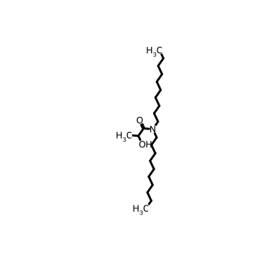 CCCCCCCCCCN(CCCCCCCCCC)C(=O)C(C)O